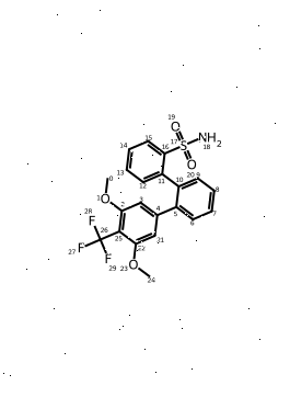 COc1cc(-c2ccccc2-c2ccccc2S(N)(=O)=O)cc(OC)c1C(F)(F)F